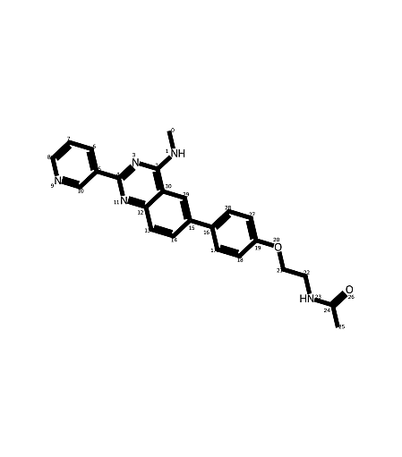 CNc1nc(-c2cccnc2)nc2ccc(-c3ccc(OCCNC(C)=O)cc3)cc12